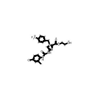 Cc1cc(Cl)ccc1NC(=O)Nc1cn(Cc2ccc(C(F)(F)F)cc2)c(C(=O)OCCO)n1